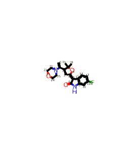 C=C(C1=C/C(=C2\C(=O)Nc3cc(F)ccc32)OC1(C)C)N1CCOCC1